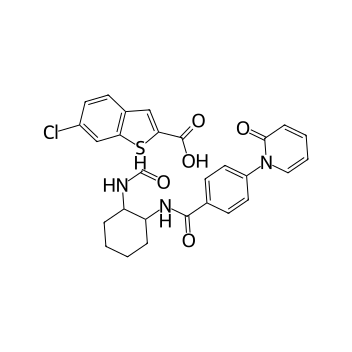 O=C(O)C1=Cc2ccc(Cl)cc2[SH]1C(=O)NC1CCCCC1NC(=O)c1ccc(-n2ccccc2=O)cc1